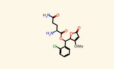 COC1=CC(=O)OC1C(OC(=O)[C@@H](N)CCC(N)=O)c1ccccc1Cl